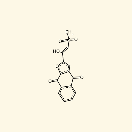 CS(=O)(=O)C=C(O)c1cc2c(o1)C(=O)c1ccccc1C2=O